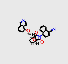 C[C@]12CC[C@](CCOc3cccc4cnccc34)(O1)[C@@H]1C(=O)N(c3ccc(C#N)c4ccccc34)C(=O)[C@@H]12